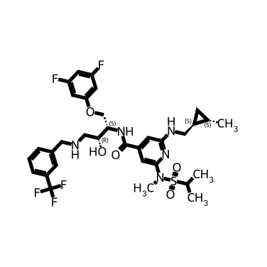 CC(C)S(=O)(=O)N(C)c1cc(C(=O)N[C@@H](COc2cc(F)cc(F)c2)[C@H](O)CNCc2cccc(C(F)(F)F)c2)cc(NC[C@H]2C[C@@H]2C)n1